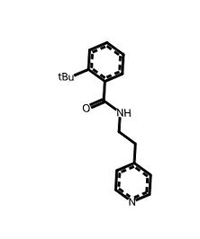 CC(C)(C)c1ccccc1C(=O)NCCc1ccncc1